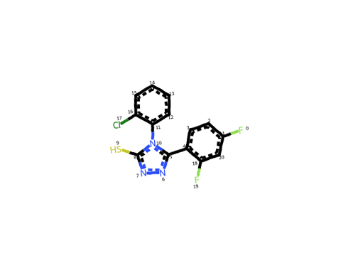 Fc1ccc(-c2nnc(S)n2-c2ccccc2Cl)c(F)c1